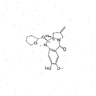 C=C1C[C@H]2[C@H](OC3CCCCO3)N(C)c3cc(O)c(OC)cc3C(=O)N2C1